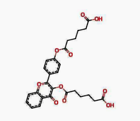 O=C(O)CCCCC(=O)Oc1ccc(-c2oc3ccccc3c(=O)c2OC(=O)CCCCC(=O)O)cc1